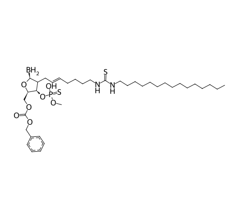 B[C@@H]1O[C@H](COC(=O)OCc2ccccc2)[C@H](OP(O)(=S)OC)C1C/C=C/CCCCNC(=S)NCCCCCCCCCCCCCCC